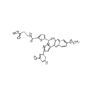 COc1ccc2cc(-c3cc(C4C=C(Cl)C=C(Cl)C4)nn3C(C)c3ccc(C(=O)NCCC(=O)O)s3)ccc2c1